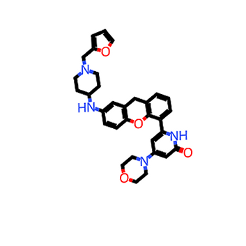 O=c1cc(N2CCOCC2)cc(-c2cccc3c2Oc2ccc(NC4CCN(Cc5ccco5)CC4)cc2C3)[nH]1